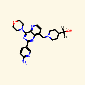 CC(C)(O)C1CCN(Cc2ccnc3c(N4CCOCC4)nc(-c4ccc(N)nc4)nc23)CC1